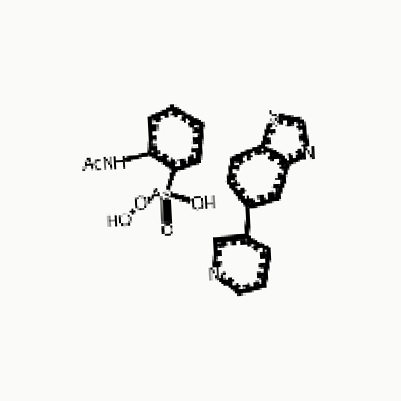 CC(=O)Nc1ccccc1[As](=O)(O)OO.c1cncc(-c2ccc3scnc3c2)c1